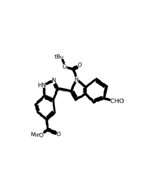 COC(=O)c1ccc2[nH]nc(-c3cc4cc(C=O)ccc4n3C(=O)OC(C)(C)C)c2c1